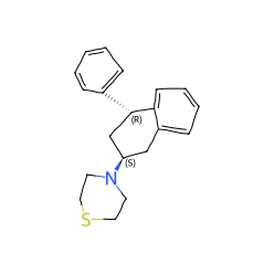 c1ccc([C@H]2C[C@H](N3CCSCC3)Cc3ccccc32)cc1